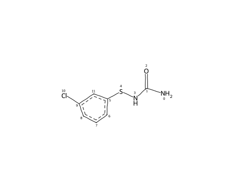 NC(=O)NSc1cccc(Cl)c1